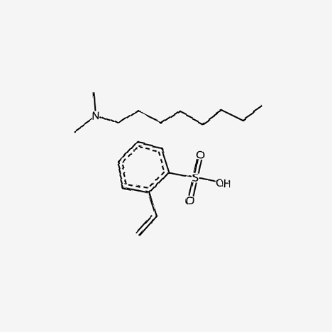 C=Cc1ccccc1S(=O)(=O)O.CCCCCCCCN(C)C